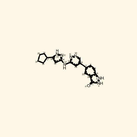 O=c1[nH][nH]c2ccc(-c3cnnc(Nc4cc(C5CCCC5)[nH]n4)c3)cc12